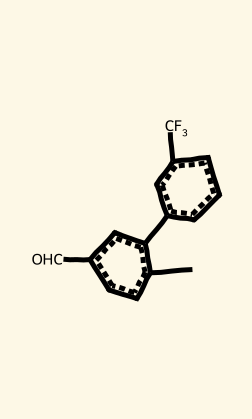 Cc1ccc(C=O)cc1-c1cccc(C(F)(F)F)c1